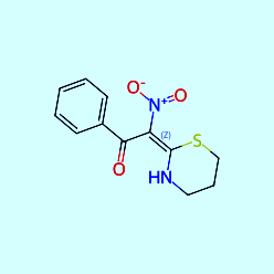 O=C(/C(=C1\NCCCS1)[N+](=O)[O-])c1ccccc1